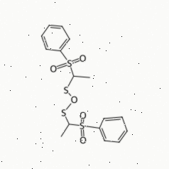 CC(SOSC(C)S(=O)(=O)c1ccccc1)S(=O)(=O)c1ccccc1